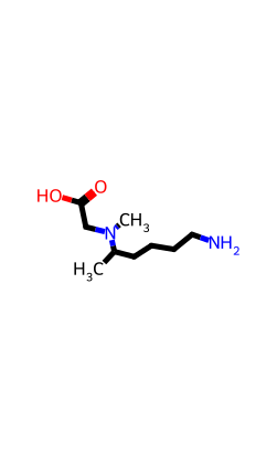 CC(CCCCN)N(C)CC(=O)O